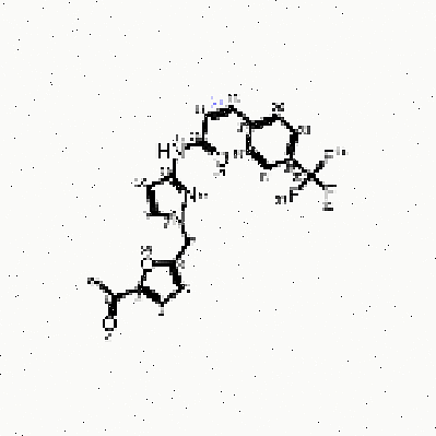 CC(=O)c1ccc(Cn2ccc(NC(=O)/C=C\c3ccc(C(F)(F)F)cc3)n2)o1